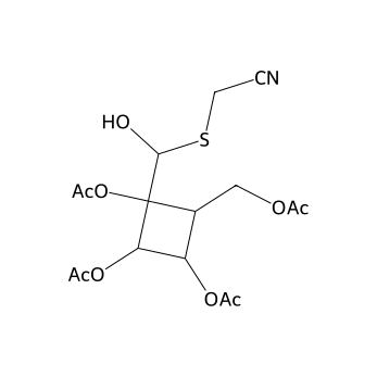 CC(=O)OCC1C(OC(C)=O)C(OC(C)=O)C1(OC(C)=O)C(O)SCC#N